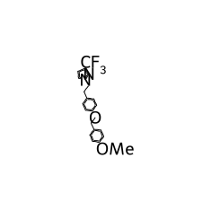 COc1ccc(COc2ccc(CCn3ccc(C(F)(F)F)n3)cc2)cc1